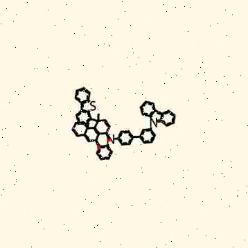 CC12C=CC=CC1=CC1(C)C3=C2C(C)(c2cccc4c2sc2ccccc24)C=CC3(C)N(c2ccc(-c3cccc(-n4c5ccccc5c5ccccc54)c3)cc2)c2ccccc21